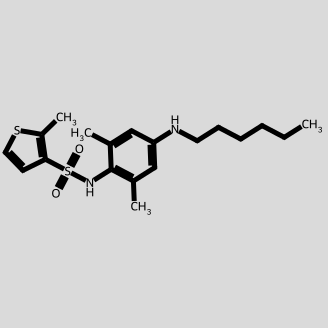 CCCCCCNc1cc(C)c(NS(=O)(=O)c2ccsc2C)c(C)c1